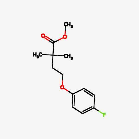 COC(=O)C(C)(C)CCOc1ccc(F)cc1